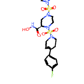 CN(C)S(=O)(=O)N1CCN(S(=O)(=O)N2CC=C(c3ccc(F)cc3)CC2)[C@@H](C(=O)NO)C1